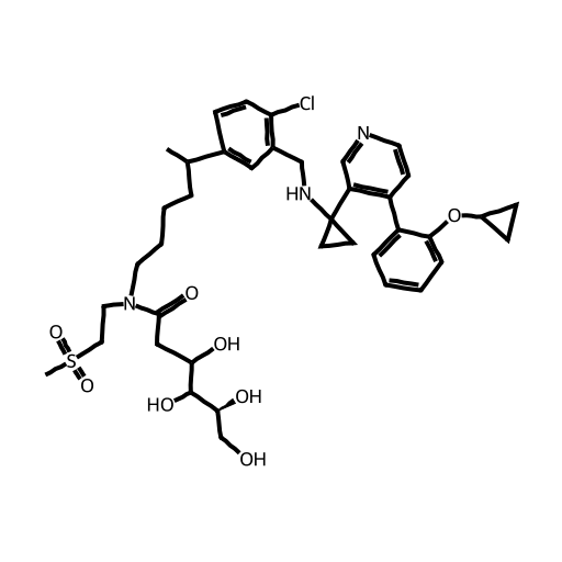 CC(CCCCN(CCS(C)(=O)=O)C(=O)CC(O)C(O)[C@@H](O)CO)c1ccc(Cl)c(CNC2(c3cnccc3-c3ccccc3OC3CC3)CC2)c1